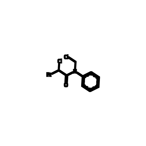 CCC(Cl)C(=O)N(CCl)c1ccccc1